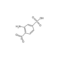 Nc1cc(S(=O)(=O)O)ccc1[SH](=O)=O